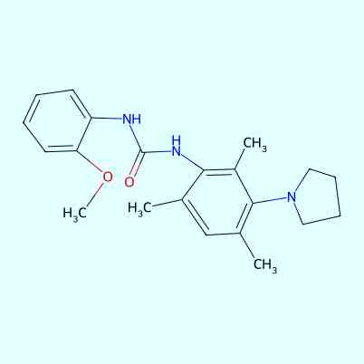 COc1ccccc1NC(=O)Nc1c(C)cc(C)c(N2CCCC2)c1C